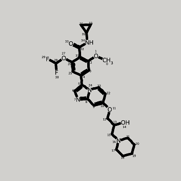 COc1cc(-c2cnc3cc(OCC(O)CN4CCCCC4)ccn23)cc(OC(F)F)c1C(=O)NC1CC1